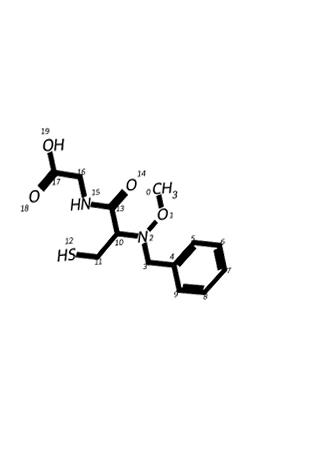 CON(Cc1ccccc1)C(CS)C(=O)NCC(=O)O